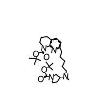 CN(CCCCCc1ccc2c(n1)N(C(=O)OC(C)(C)C)CCC2)[C@@H]1CCN(C(=O)OC(C)(C)C)C1